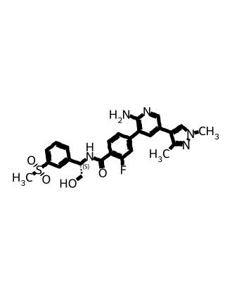 Cc1nn(C)cc1-c1cnc(N)c(-c2ccc(C(=O)N[C@H](CO)c3cccc(S(C)(=O)=O)c3)c(F)c2)c1